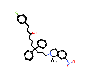 CC1c2cc([N+](=O)[O-])ccc2CCN1CCCC(CCCC(=O)CCc1ccc(F)cc1)(c1ccccc1)c1ccccc1